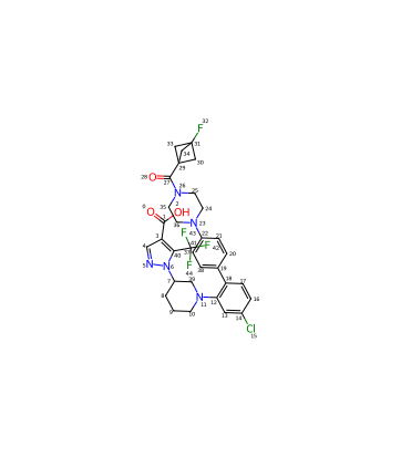 O=C(O)c1cnn(C2CCCN(c3cc(Cl)ccc3-c3ccc(N4CCN(C(=O)C56CC(F)(C5)C6)CC4)cc3)C2)c1C(F)(F)F